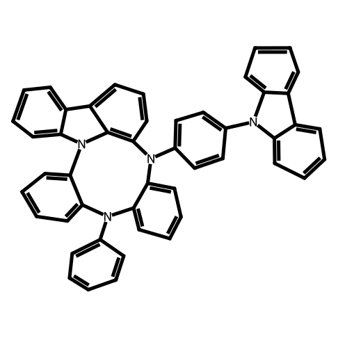 c1ccc(N2c3ccccc3N(c3ccc(-n4c5ccccc5c5ccccc54)cc3)c3cccc4c5ccccc5n(c34)-c3ccccc32)cc1